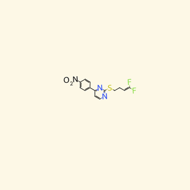 O=[N+]([O-])c1ccc(-c2ccnc(SCCC=C(F)F)n2)cc1